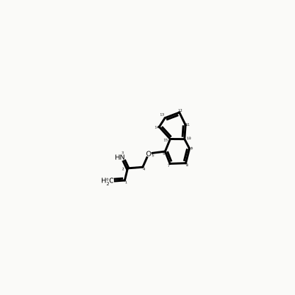 C=CC(=N)COc1cccc2ccccc12